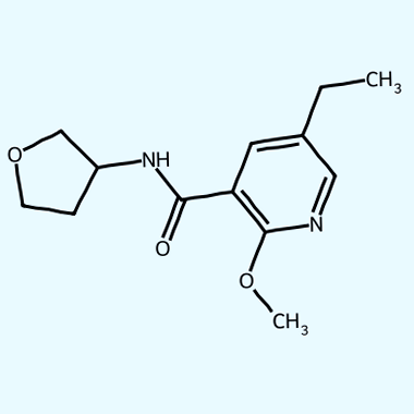 CCc1cnc(OC)c(C(=O)NC2CCOC2)c1